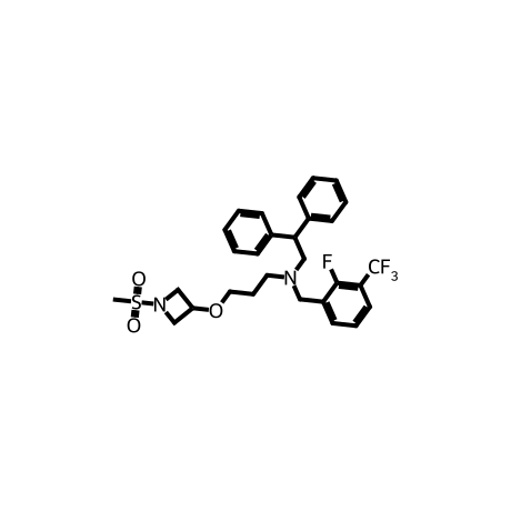 CS(=O)(=O)N1CC(OCCCN(Cc2cccc(C(F)(F)F)c2F)CC(c2ccccc2)c2ccccc2)C1